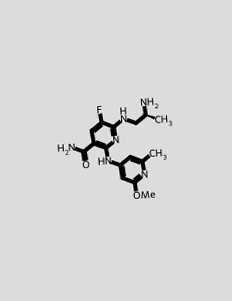 COc1cc(Nc2nc(NC[C@H](C)N)c(F)cc2C(N)=O)cc(C)n1